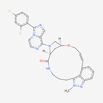 Cn1nc2cccc3c2c1CCCNC(=O)[C@@H]1C[C@@H](CN1c1nccn2c(-c4ccc(F)cc4F)ncc12)OCC=C3